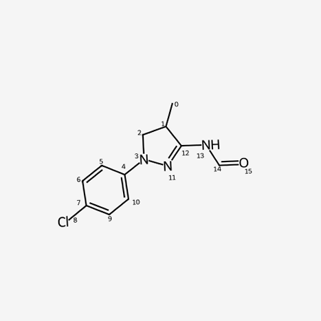 CC1CN(c2ccc(Cl)cc2)N=C1NC=O